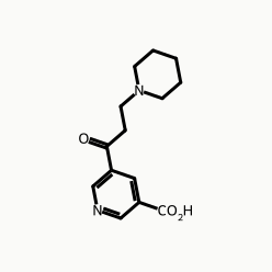 O=C(O)c1cncc(C(=O)CCN2CCCCC2)c1